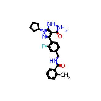 Cc1ccccc1C(=O)NCc1ccc(-c2nn(C3CCCC3)c(N)c2C(N)=O)c(F)c1